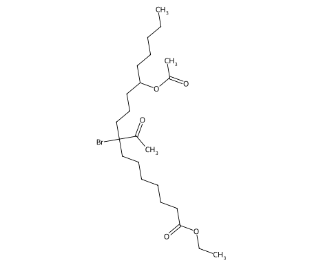 CCCCCC(CCCC(Br)(CCCCCCC(=O)OCC)C(C)=O)OC(C)=O